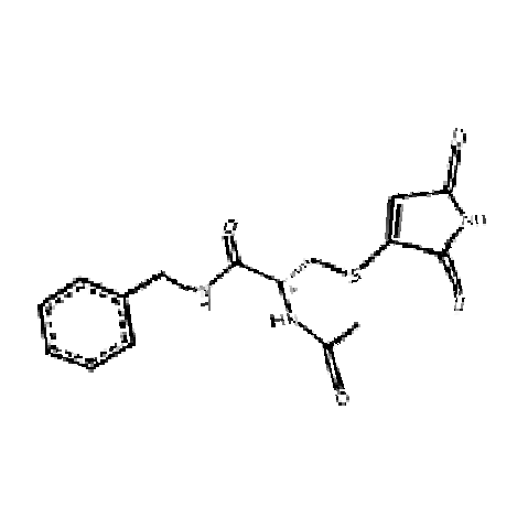 O=C(I)N[C@@H](CSC1=CC(=O)NC1=O)C(=O)NCc1ccccc1